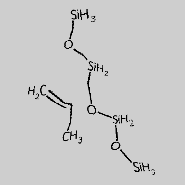 C=CC.[SiH3]O[SiH2]O[SiH2]O[SiH3]